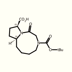 CC(C)(C)OC(=O)N1CCCC[C@H]2CC[C@@H](C(=O)O)N2C(=O)C1